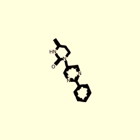 C=C1CCN(c2cnc(-c3ccccc3)nc2)C(=O)N1